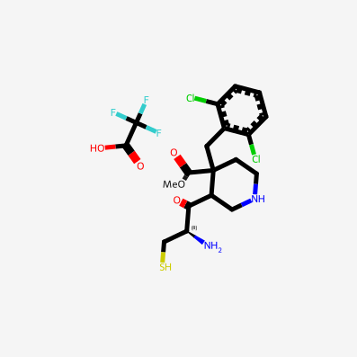 COC(=O)C1(Cc2c(Cl)cccc2Cl)CCNCC1C(=O)[C@@H](N)CS.O=C(O)C(F)(F)F